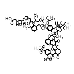 CC(C)Oc1cc(-n2nc(C(C)(C)C)oc2=O)c(Cl)cc1Cl.CC1COc2ccccc2N1C(=O)C(Cl)Cl.CCc1cccc(C)c1N(C(=O)CCl)C(C)COC.CS(=O)(=O)c1ccc(C(=O)C2C(=O)CCCC2=O)c([N+](=O)[O-])c1.O=C(O)CNCP(=O)(O)O